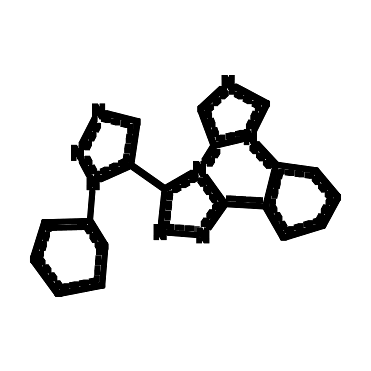 c1ccc(-n2nncc2-c2nnc3c4ccccc4n4cncc4n23)cc1